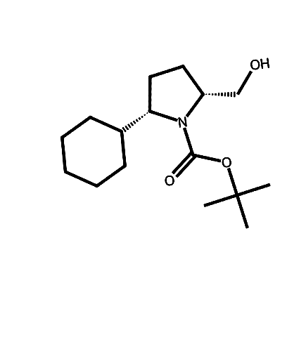 CC(C)(C)OC(=O)N1[C@@H](CO)CC[C@H]1C1CCCCC1